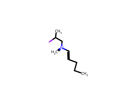 C=[N+](/C=C/CCC)CC(C)I